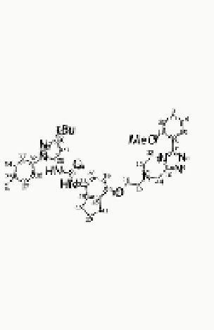 COc1ccccc1-c1nnc2n1CCN(CCOc1ccc(NC(=O)Nc3cc(C(C)(C)C)nn3-c3ccc(C)cc3)c3c1CCC3)C2